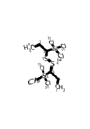 CCC(SSC(CC)[Si](Cl)(Cl)Cl)[Si](Cl)(Cl)Cl